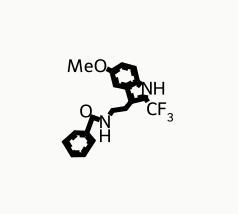 COc1ccc2[nH]c(C(F)(F)F)c(CCNC(=O)c3ccccc3)c2c1